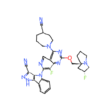 N#Cc1n[nH]c2c3ccccc3n(-c3ncc4c(N5CCCC(C#N)CC5)nc(OC[C@@]56CCCN5C[C@H](F)C6)nc4c3F)c12